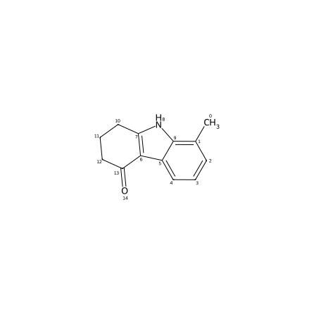 Cc1cccc2c3c([nH]c12)CCCC3=O